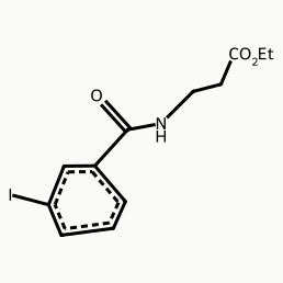 CCOC(=O)CCNC(=O)c1cccc(I)c1